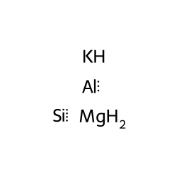 [Al].[KH].[MgH2].[Si]